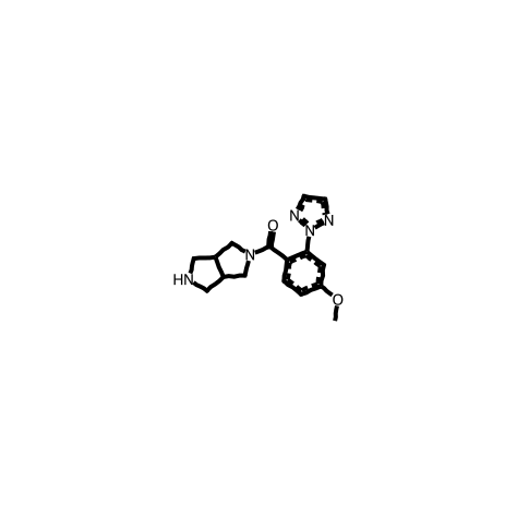 COc1ccc(C(=O)N2CC3CNCC3C2)c(-n2nccn2)c1